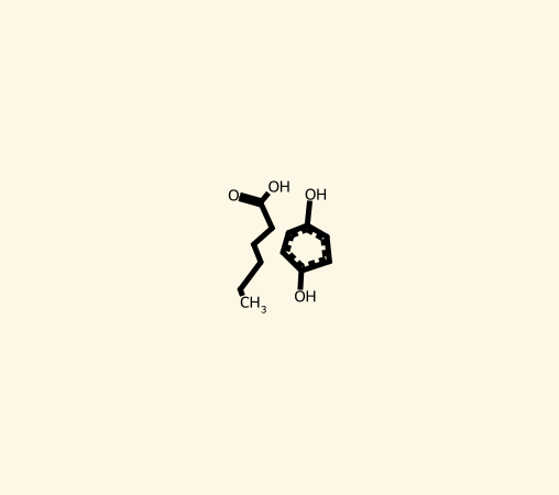 CCCCCC(=O)O.Oc1ccc(O)cc1